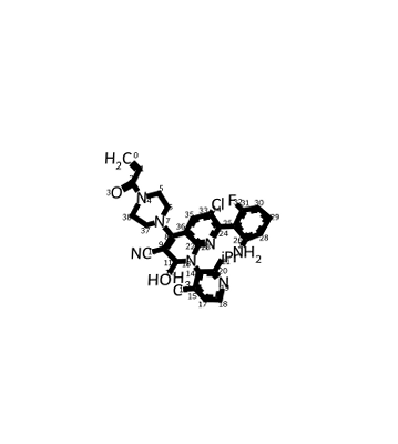 C=CC(=O)N1CCN(C2=C(C#N)C(O)N(c3c(C)ccnc3C(C)C)c3nc(-c4c(N)cccc4F)c(Cl)cc32)CC1